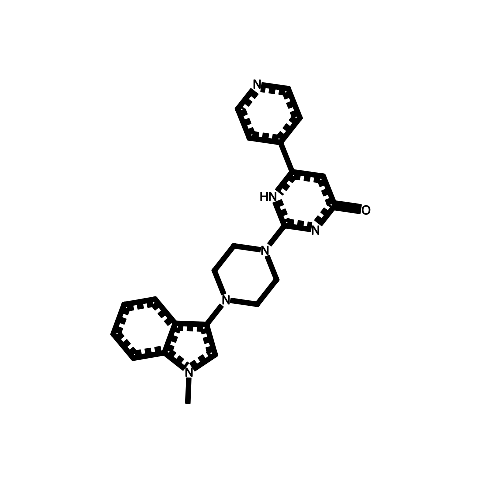 Cn1cc(N2CCN(c3nc(=O)cc(-c4ccncc4)[nH]3)CC2)c2ccccc21